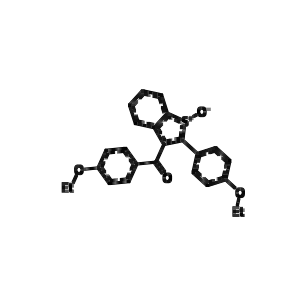 CCOc1ccc(C(=O)c2c(-c3ccc(OCC)cc3)[s+]([O-])c3ccccc23)cc1